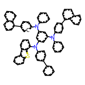 c1ccc(-c2ccc(N(c3cc(N(c4ccccc4)c4ccc(-c5cccc6ccccc56)cc4)cc(N(c4ccccc4)c4ccc(-c5cccc6ccccc56)cc4)c3)c3cccc4c3sc3ccccc34)cc2)cc1